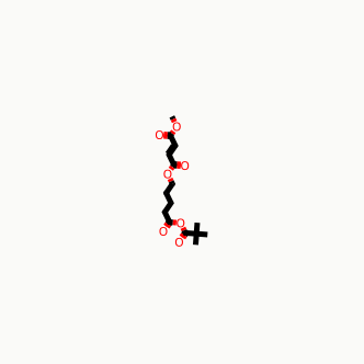 COC(=O)C=CC(=O)OCCCCC(=O)OC(=O)C(C)(C)C